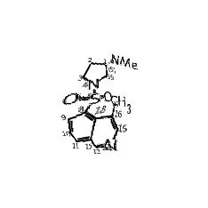 CN[C@H]1CCN(S(=O)(=O)c2cccc3cncc(C)c23)C1